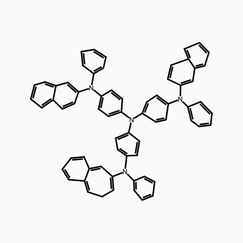 C1=C(N(c2ccccc2)c2ccc(N(c3ccc(N(c4ccccc4)c4ccc5ccccc5c4)cc3)c3ccc(N(c4ccccc4)c4ccc5ccccc5c4)cc3)cc2)C=c2ccccc2=CC1